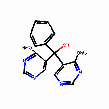 COc1ncncc1C(O)(c1ccccc1)c1cncnc1OC